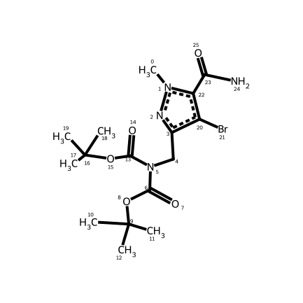 Cn1nc(CN(C(=O)OC(C)(C)C)C(=O)OC(C)(C)C)c(Br)c1C(N)=O